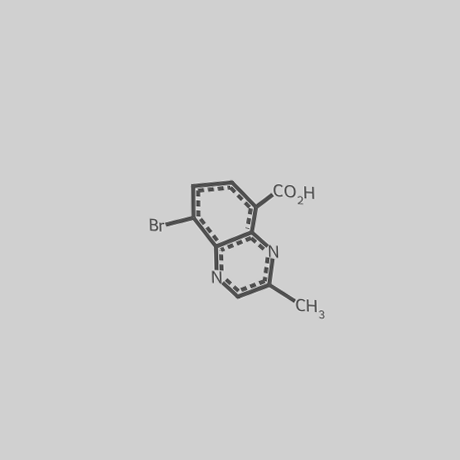 Cc1cnc2c(Br)ccc(C(=O)O)c2n1